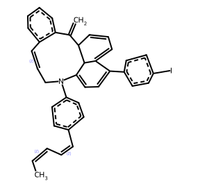 C=C1c2ccccc2/C=C\CN(c2ccc(/C=C\C=C/C)cc2)C2=CC=C(c3ccc(I)cc3)C3=CC=CC1C32